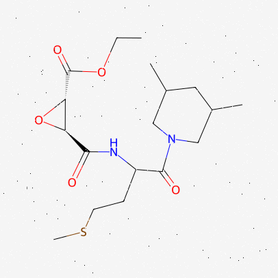 CCOC(=O)[C@H]1O[C@@H]1C(=O)NC(CCSC)C(=O)N1CC(C)CC(C)C1